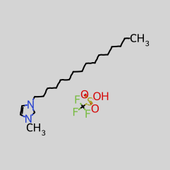 CCCCCCCCCCCCCCCCN1C=CN(C)C1.O=S(=O)(O)C(F)(F)F